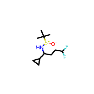 CC(C)(C)[S@+]([O-])NC(CCC(F)F)C1CC1